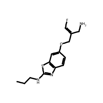 CCCNc1nc2ccc(OCC(=CF)CN)cc2s1